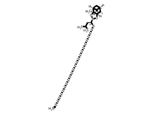 CC(C)C[C@H](N=[Si]=[Si]=[Si]=[Si]=[Si]=[Si]=[Si]=[Si]=[Si]=[Si]=[Si]=[Si]=[Si]=[Si]=[Si]=[Si]=[Si]=[Si]=[Si]=[Si]=[Si]=[Si]=[SiH2])B1O[C@@H]2C[C@@H]3C[C@@H](C3(C)C)[C@]2(C)O1